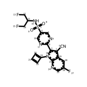 N#Cc1c(-c2ncc(S(=O)(=O)NC(CF)CF)cn2)n(C2=CC=C2)c2ncc(F)cc12